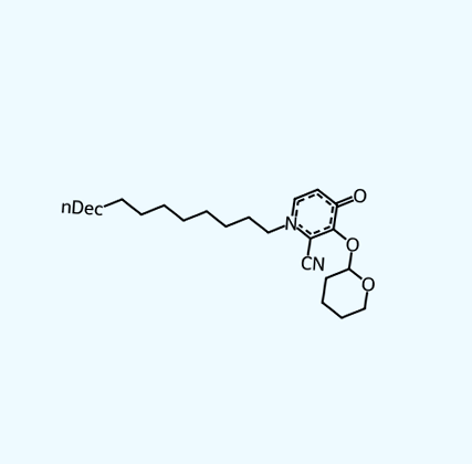 CCCCCCCCCCCCCCCCCCn1ccc(=O)c(OC2CCCCO2)c1C#N